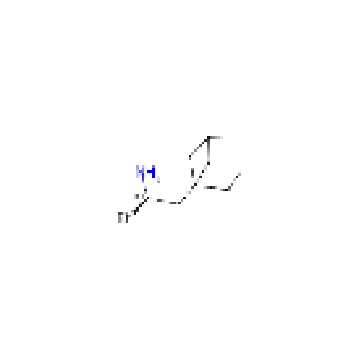 CC[C@@H](N)CC12CCCC(C1)C2